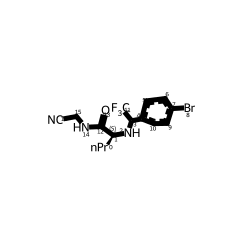 CCC[C@H](NC(c1ccc(Br)cc1)C(F)(F)F)C(=O)NCC#N